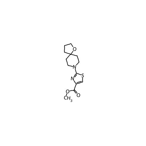 COC(=O)c1csc(N2CCC3(CCCO3)CC2)n1